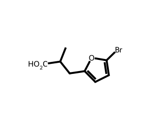 CC(Cc1ccc(Br)o1)C(=O)O